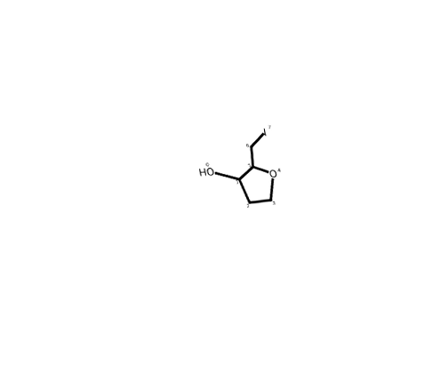 OC1CCOC1CI